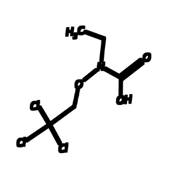 CCN(OCC(Cl)(Cl)Cl)C(=O)O